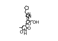 CC1=CC([C@H]2C[C@H](n3cc(CC4CCCC4)nn3)[C@@H](CO)O2)C(=O)NC1=O